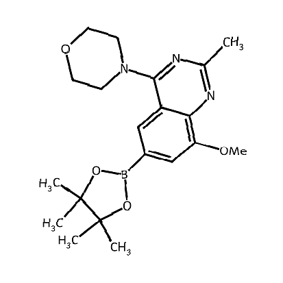 COc1cc(B2OC(C)(C)C(C)(C)O2)cc2c(N3CCOCC3)nc(C)nc12